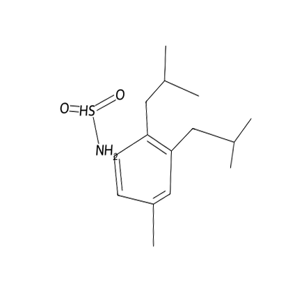 Cc1ccc(CC(C)C)c(CC(C)C)c1.N[SH](=O)=O